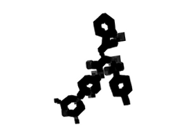 Cc1ccc(S(=O)(=O)N[C@@H](Cc2c[nH]c3ccccc23)C(=O)Nc2ccc(N3C[C@@H](C)O[C@@H](C)C3)nc2)cc1